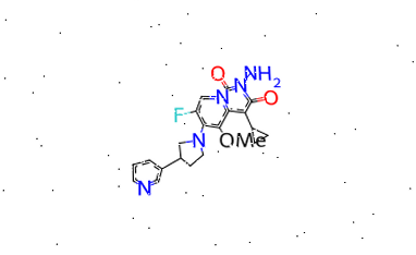 COc1c(N2CCC(c3cccnc3)C2)c(F)cn2c(=O)n(N)c(=O)c(C3CC3)c12